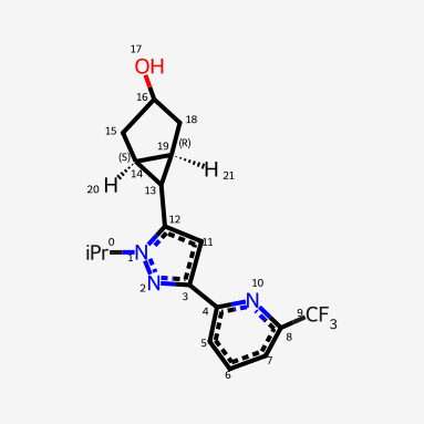 CC(C)n1nc(-c2cccc(C(F)(F)F)n2)cc1C1[C@H]2CC(O)C[C@@H]12